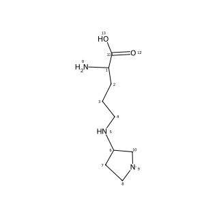 NC(CCCNC1CC[N]C1)C(=O)O